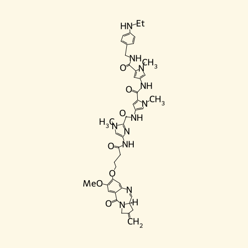 C=C1C[C@H]2C=Nc3cc(OCCCC(=O)Nc4cn(C)c(C(=O)Nc5cc(C(=O)Nc6cc(C(=O)NCc7ccc(NCC)cc7)n(C)c6)n(C)c5)n4)c(OC)cc3C(=O)N2C1